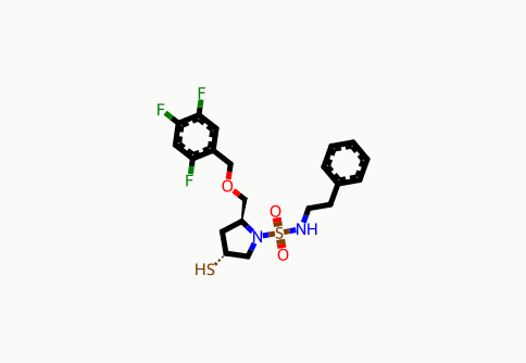 O=S(=O)(NCCc1ccccc1)N1C[C@H](S)C[C@H]1COCc1cc(F)c(F)cc1F